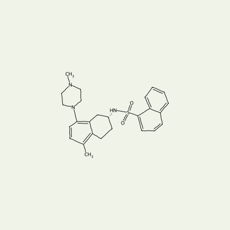 Cc1ccc(N2CCN(C)CC2)c2c1CC[C@@H](NS(=O)(=O)c1cccc3ccccc13)C2